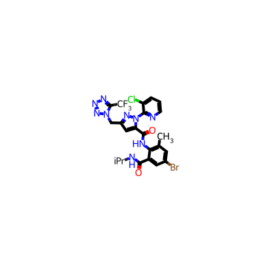 Cc1cc(Br)cc(C(=O)NC(C)C)c1NC(=O)c1cc(Cn2nnnc2C(F)(F)F)nn1-c1ncccc1Cl